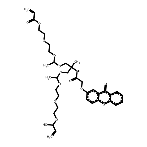 C=CC(=O)OCCOCCOC(C)OCC(C)(COC(C)OCCOCCOC(O)C=C)NC(=O)COc1ccc2sc3ccccc3c(=O)c2c1